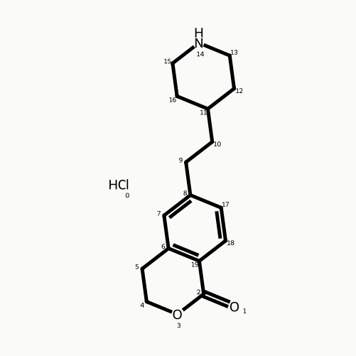 Cl.O=C1OCCc2cc(CCC3CCNCC3)ccc21